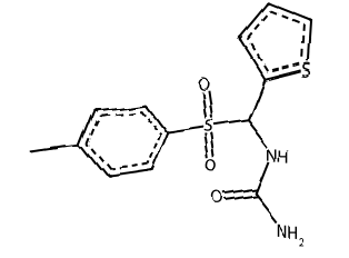 Cc1ccc(S(=O)(=O)C(NC(N)=O)c2cccs2)cc1